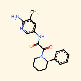 Cc1cc(NC(=O)C(=O)N2CCCC[C@@H]2c2ccccc2)cnc1N